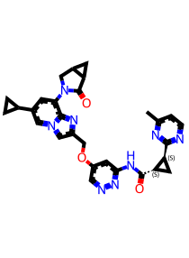 Cc1ccnc([C@H]2C[C@@H]2C(=O)Nc2cc(OCc3cn4cc(C5CC5)cc(N5CC6CC6C5=O)c4n3)cnn2)n1